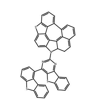 C1=c2cccc3c2=C2c4c(ccc5sc6cccc-3c6c45)N(c3nc(-c4cccc5sc6ccccc6c45)c4sc5ccccc5c4n3)C2C1